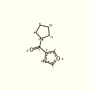 O=C(c1co[c]n1)N1CCCC1